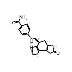 NC(=O)c1ccc(N/C=C2/CC3=C(CC(=O)N3)c3scnc32)cc1